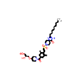 Cc1cc(C(=O)N2CCC(OC[C@H](O)CO)CC2)cc(C)c1C=CS(=O)(=O)N1CCC2(CC1)N=C(CCCCCCCCC(F)(F)F)NC2=O